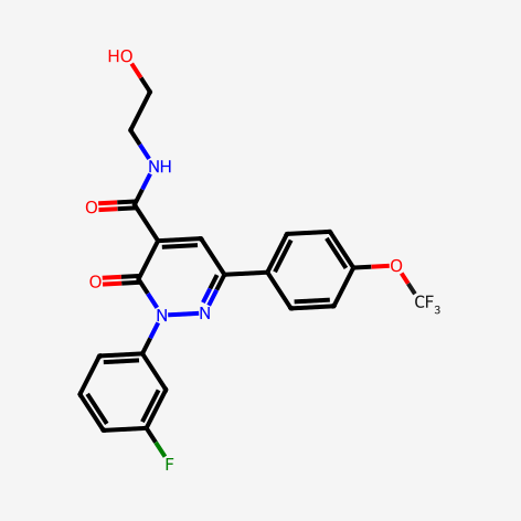 O=C(NCCO)c1cc(-c2ccc(OC(F)(F)F)cc2)nn(-c2cccc(F)c2)c1=O